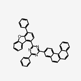 c1ccc(-c2nc(-c3ccc4c(ccc5ccc6ccccc6c54)c3)nc(-c3ccc(-c4ccccc4)c4oc5ccccc5c34)n2)cc1